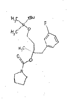 CC(C)(C)[Si](C)(C)OCC[C@@](C)(Cc1cccc(F)c1)OC(=O)N1CCCC1